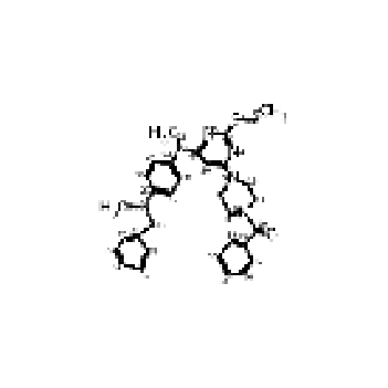 CCSc1nc(N2CCN(C(=O)c3ccccc3)CC2)cc(N(C)c2ccc(N(C)Cc3ccccc3)cc2)n1